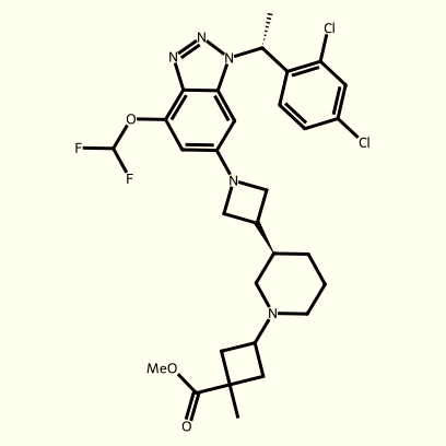 COC(=O)C1(C)CC(N2CCC[C@H](C3CN(c4cc(OC(F)F)c5nnn([C@H](C)c6ccc(Cl)cc6Cl)c5c4)C3)C2)C1